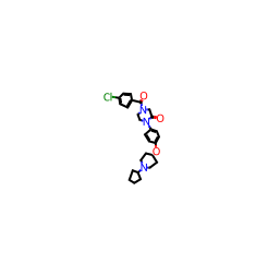 O=C(c1ccc(Cl)cc1)N1CCN(c2ccc(OC3CCN(C4CCCC4)CC3)cc2)C(=O)C1